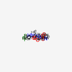 CC(C)CC(NC(=O)c1ccc(C(F)(F)F)cc1)C(=O)N1CCC2C1C(=O)CN2S(=O)(=O)C1=NC=CCC1=O